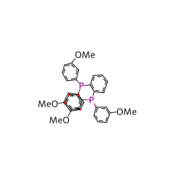 COc1cccc(P(c2cccc(OC)c2)c2ccccc2P(c2cccc(OC)c2)c2cccc(OC)c2)c1